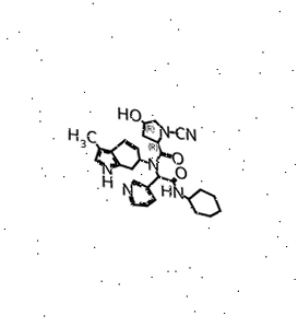 Cc1c[nH]c2c1C=CC(N(C(=O)[C@H]1C[C@@H](O)CN1C#N)C(C(=O)NC1CCCCC1)c1cccnc1)C2